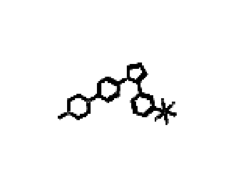 CN1CCN(c2ccc(-n3cccc3-c3cccc(S(F)(F)(F)(F)F)c3)cc2)CC1